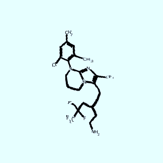 Cc1cc(C)c(N2CCCn3c2nc(C(F)(F)F)c3CC(CCN)CC(F)(F)C(F)(F)F)c(Cl)c1